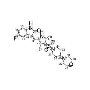 Cc1[nH]c(/C=C2\C(=O)Nc3ccc(F)cc32)c(C)c1S(=O)(=O)N1CCC(N2CCOCC2)CC1